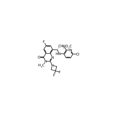 C[C@H](Nc1ccc(Cl)nc1C(=O)O)c1cc(F)cc2c(=O)n(C)c(N3CC(F)(F)C3)nc12